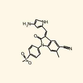 Cc1cc2c(cc1C#N)C(=Cc1cc(N)c[nH]1)C(=O)N2c1ccc(S(C)(=O)=O)cc1